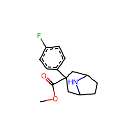 COC(=O)C1(c2ccc(F)cc2)CC2CCC(C1)N2